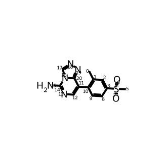 Cc1cc(S(C)(=O)=O)ccc1-c1cnc(N)n2cnnc12